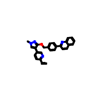 COc1ccc(-c2cn(C)nc2OCc2ccc(-c3ccc4ccccc4n3)cc2)cn1